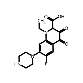 CCN1c2cc(N3CCNCC3)c(F)cc2C(=O)C(=O)C1C(=O)O